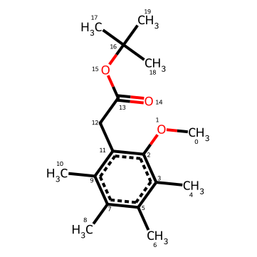 COc1c(C)c(C)c(C)c(C)c1CC(=O)OC(C)(C)C